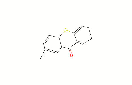 CC1=CC2C(=O)C3=CCCC=C3SC2C=C1